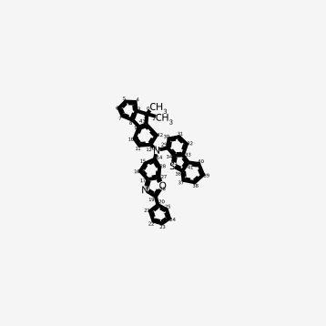 CC1(C)c2ccccc2-c2ccc(N(c3ccc4nc(-c5ccccc5)oc4c3)c3cccc4c3sc3ccccc34)cc21